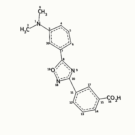 CN(C)c1cccc(-c2nc(-c3cccc(C(=O)O)c3)no2)c1